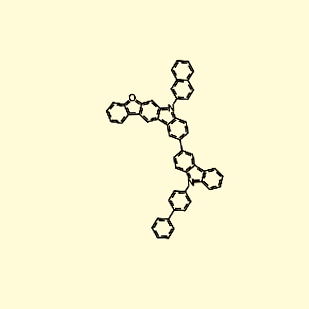 c1ccc(-c2ccc(-n3c4ccccc4c4cc(-c5ccc6c(c5)c5cc7c(cc5n6-c5ccc6ccccc6c5)oc5ccccc57)ccc43)cc2)cc1